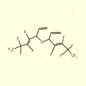 C=CC(OC(C=C)C(F)=C(F)C(F)(F)C(F)(F)F)C(F)=C(F)C(F)(F)C(F)(F)F